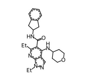 CCc1nc2c(cnn2CC)c(NC2CCOCC2)c1C(=O)NC1Cc2ccccc2C1